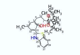 Cc1cc(CC(C)C[Si](C)(O[Si](C)(C)C)O[Si](C)(C)C)c(O)c(C2Nc3ccccc3S2)c1